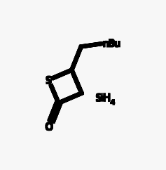 CCCCCC1CC(=O)S1.[SiH4]